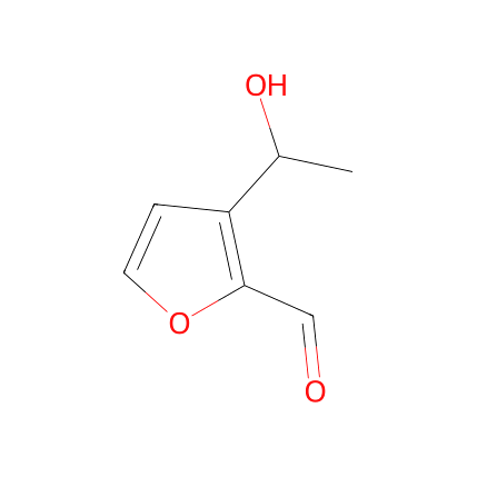 CC(O)c1ccoc1C=O